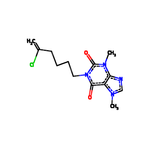 C=C(Cl)CCCCn1c(=O)c2c(ncn2C)n(C)c1=O